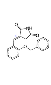 O=C1C/C(=C\c2ccccc2OCc2ccccc2)C(=O)N1